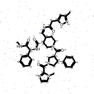 CNC(=O)[C@@H](NC(=O)[C@H]1CN(C(=O)[C@@H]2CN(C(=O)c3nccn3C)C[C@H]2c2ccccc2)CCC1/C=N\C(=O)Cc1cc(C)no1)c1ccccc1